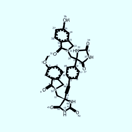 COc1ccc2c(c1)C(=O)N(C[C@@]1(C#Cc3ccc(C4(CN5Cc6cc(O)ccc6C5=O)NC(=O)NC4=O)cc3)NC(=O)NC1=O)C2